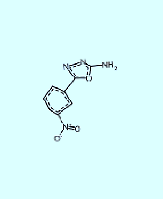 Nc1nnc(-c2cccc([N+](=O)[O-])c2)o1